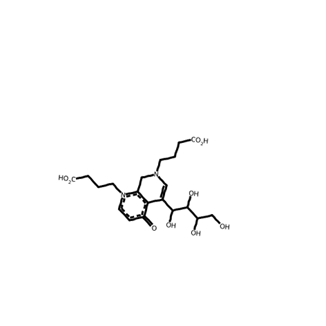 O=C(O)CCCN1C=C(C(O)C(O)C(O)CO)c2c(n(CCCC(=O)O)ccc2=O)C1